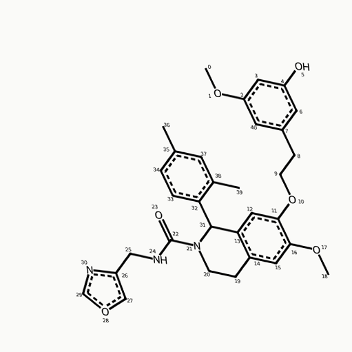 COc1cc(O)cc(CCOc2cc3c(cc2OC)CCN(C(=O)NCc2cocn2)C3c2ccc(C)cc2C)c1